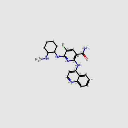 CNC1CCCCC1Nc1nc(Nc2ccnc3ccccc23)c(C(N)=O)cc1F